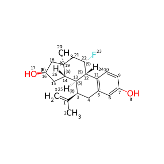 C=C(C)[C@@H]1Cc2cc(O)ccc2[C@@H]2[C@@H]1[C@@H]1C[C@@H](O)C[C@@]1(C)C[C@@H]2F